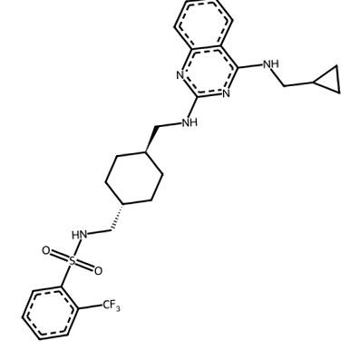 O=S(=O)(NC[C@H]1CC[C@H](CNc2nc(NCC3CC3)c3ccccc3n2)CC1)c1ccccc1C(F)(F)F